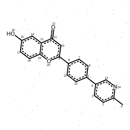 Cc1ccc(-c2ccc(-c3cc(=O)c4cc(O)ccc4o3)cc2)cn1